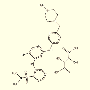 CN1CCN(Cc2ccc(Nc3ncc(Cl)c(Nc4ccccc4S(=O)(=O)N(C)C)n3)cc2)CC1.O=C(O)C(O)C(O)C(=O)O